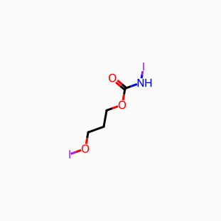 O=C(NI)OCCCOI